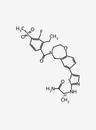 CCc1c(C(=O)N2CCOc3ccc(-c4cnc(N[C@H](C)C(N)=O)s4)cc3C2)ccc(S(C)(=O)=O)c1F